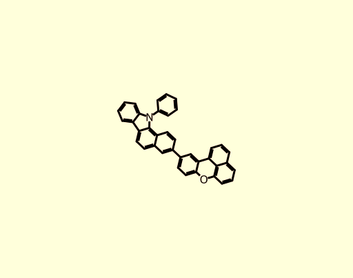 c1ccc(-n2c3ccccc3c3ccc4cc(-c5ccc6c(c5)-c5cccc7cccc(c57)O6)ccc4c32)cc1